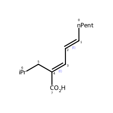 CCCCC/C=C/C=C(\CC(C)C)C(=O)O